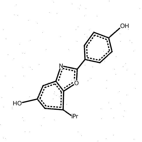 CC(C)c1cc(O)cc2nc(-c3ccc(O)cc3)oc12